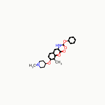 Cc1c(OC2CCN(C)CC2)ccc2cc(NC(=O)Oc3ccccc3)c(=O)oc12